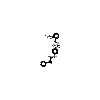 O=C(Nc1ccc(S(=O)(=O)NCc2ccccc2OC(F)(F)F)cc1)C1CC1c1ccncc1